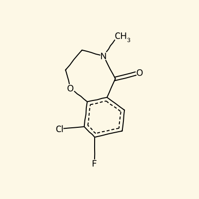 CN1CCOc2c(ccc(F)c2Cl)C1=O